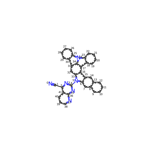 N#Cc1nc(-n2c3cc4ccccc4cc3c3c4c5ccccc5n5c6ccccc6c(cc32)c45)nc2ncccc12